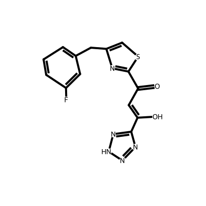 O=C(C=C(O)c1nn[nH]n1)c1nc(Cc2cccc(F)c2)cs1